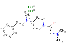 CN(C)CC(=O)N1CCC(N(C)CCc2ccccc2)CC1.Cl.Cl